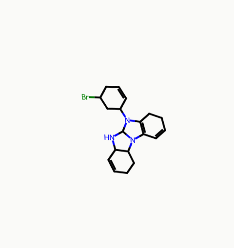 BrC1CC=CC(N2C3=C(C=CCC3)N3C4CCC=CC4NC23)C1